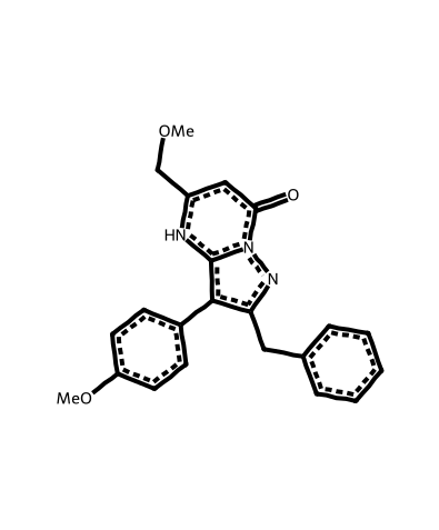 COCc1cc(=O)n2nc(Cc3ccccc3)c(-c3ccc(OC)cc3)c2[nH]1